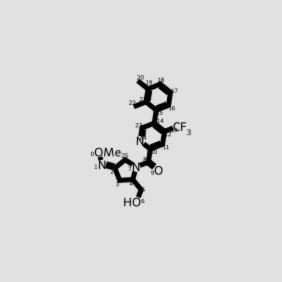 CO/N=C1/CC(CO)N(C(=O)c2cc(C(F)(F)F)c(-c3cccc(C)c3C)cn2)C1